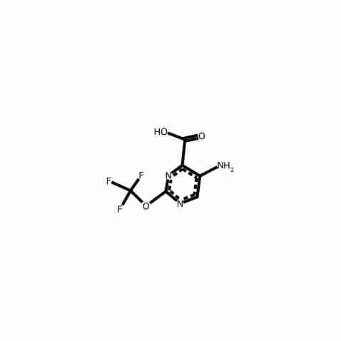 Nc1cnc(OC(F)(F)F)nc1C(=O)O